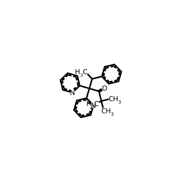 CC(c1ccccc1)C(C(=O)C(C)(C)C)(c1ccccn1)c1ccccn1